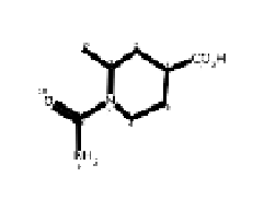 CC1CC(C(=O)O)CCN1C(N)=O